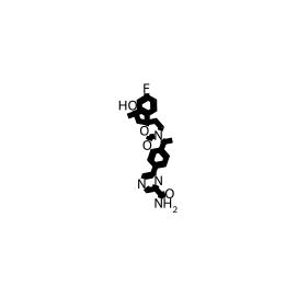 CC(c1ccc(-c2cncc(C(N)=O)n2)cc1)N1CCC(CC(C)(C)O)(c2ccc(F)cc2)OC1=O